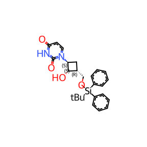 CC(C)(C)[Si](OC[C@H]1C[C@H](n2ccc(=O)[nH]c2=O)[C@H]1O)(c1ccccc1)c1ccccc1